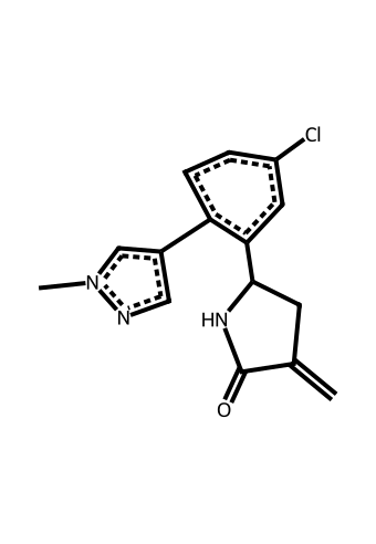 C=C1CC(c2cc(Cl)ccc2-c2cnn(C)c2)NC1=O